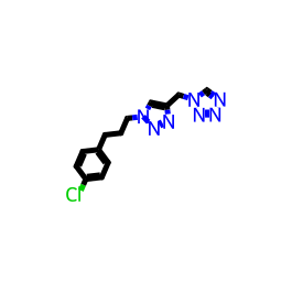 Clc1ccc(CCCn2cc(Cn3cnnn3)nn2)cc1